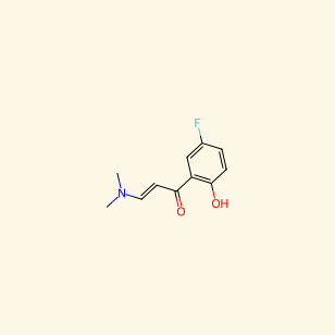 CN(C)/C=C/C(=O)c1cc(F)ccc1O